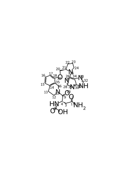 NC(=O)C[C@@H](NC(=O)O)C(=O)N1CCc2cccc(OC[C@H]3CCCN3c3ncnc4[nH]cnc34)c2C1